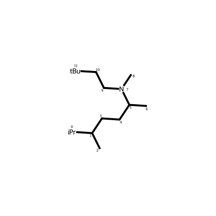 CC(C)C(C)CCC(C)N(C)CCC(C)(C)C